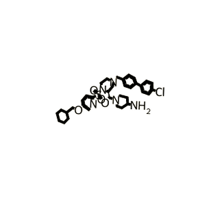 NC1CCN(C(=O)[C@@H]2CN(Cc3ccc(-c4ccc(Cl)cc4)cc3)CCN2S(=O)(=O)c2ccc(OCC3CCCCC3)cn2)CC1